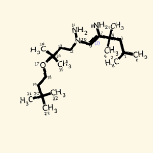 CC(C)CC(C)(C)/C(N)=C/N(N)CCC(C)(C)OCCC(C)(C)C